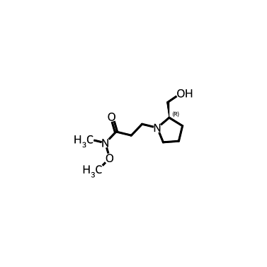 CON(C)C(=O)CCN1CCC[C@@H]1CO